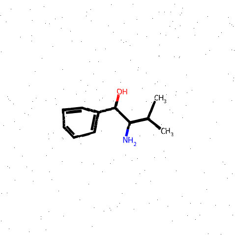 CC(C)C(N)C(O)c1ccccc1